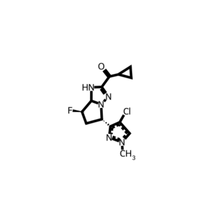 Cn1cc(Cl)c([C@@H]2C[C@@H](F)C3NC(C(=O)C4CC4)=NN32)n1